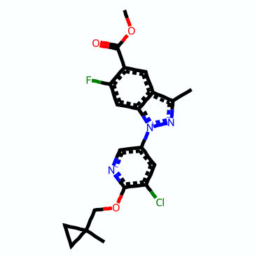 COC(=O)c1cc2c(C)nn(-c3cnc(OCC4(C)CC4)c(Cl)c3)c2cc1F